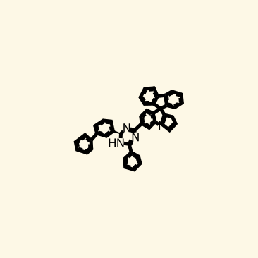 Ic1cc(C2=N[C@H](c3cccc(-c4ccccc4)c3)NC(c3ccccc3)=N2)ccc1C1(C2=CC=CC2)c2ccccc2-c2ccccc21